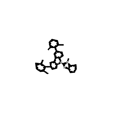 Cc1cccc(C)c1-c1ccc2c(c1)c1cc(-c3c(C)cccc3C)ccc1n2-c1nc2ccccc2n1C